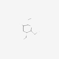 CC[C@H]1CC(O)[C@H](CO)OC1CO